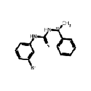 C[C@H](NC(=S)Nc1cccc(Br)c1)c1ccccc1